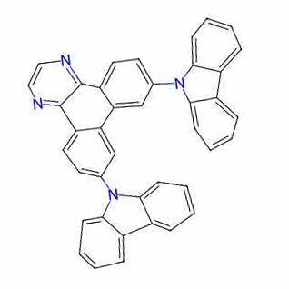 c1ccc2c(c1)c1ccccc1n2-c1ccc2c(c1)c1cc(-n3c4ccccc4c4ccccc43)ccc1c1nccnc21